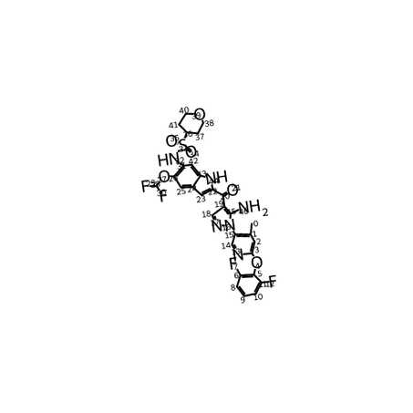 Cc1cc(Oc2c(F)cccc2F)ncc1-n1ncc(C(=O)c2cc3cc(OC(F)F)c(NS(=O)(=O)C4CCOCC4)cc3[nH]2)c1N